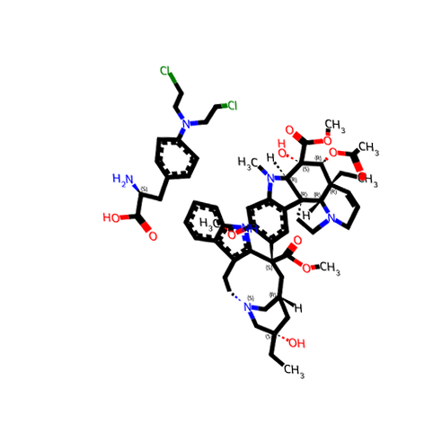 CC[C@]1(O)C[C@@H]2C[N@@](CCc3c([nH]c4ccccc34)[C@@](C(=O)OC)(c3cc4c(cc3OC)N(C)[C@H]3[C@@](O)(C(=O)OC)[C@H](OC(C)=O)[C@]5(CC)C=CCN6CC[C@]43[C@@H]65)C2)C1.N[C@@H](Cc1ccc(N(CCCl)CCCl)cc1)C(=O)O